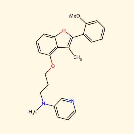 COc1ccccc1-c1oc2cccc(OCCCN(C)c3cccnc3)c2c1C